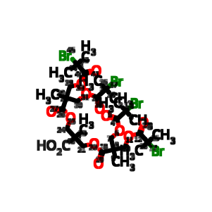 CC(C)(Br)C(=O)OCC(C)(COC(=O)C(C)(C)Br)C(=O)OCC(C)(COC(=O)C(C)(COC(=O)C(C)(C)Br)COC(=O)C(C)(C)Br)C(=O)O